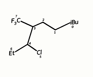 CCC(C)CCC(C(Cl)CC)C(F)(F)F